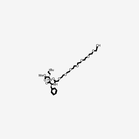 C#CCOCCOCCOCCOCCOCCOCCOCC(=O)N[C@@H](Cc1ccccc1)C(=O)N[C@@H](CCC(C)(C)C)C(=O)OC